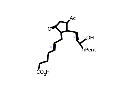 CCCCCC(O)/C=C/C1C(C(C)=O)CC(=O)C1C/C=C/CCCC(=O)O